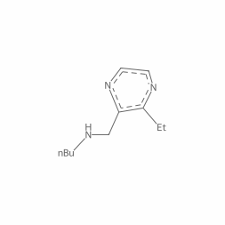 CCCCNCc1nccnc1CC